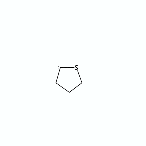 [C]1CCCS1